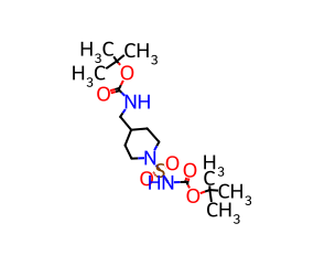 CC(C)(C)OC(=O)NCC1CCN(S(=O)(=O)NC(=O)OC(C)(C)C)CC1